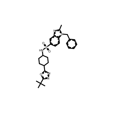 Cc1nc2cc(S(=O)(=O)NC3CCC(c4nnc(C(C)(C)C)o4)CC3)ccc2n1Cc1ccccc1